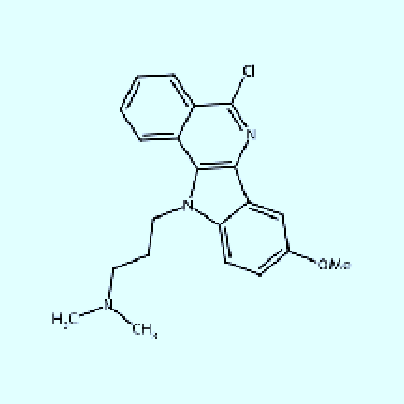 COc1ccc2c(c1)c1nc(Cl)c3ccccc3c1n2CCCN(C)C